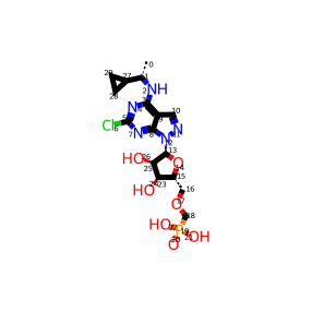 C[C@H](Nc1nc(Cl)nc2c1cnn2[C@@H]1O[C@H](COCP(=O)(O)O)[C@@H](O)[C@H]1O)C1CC1